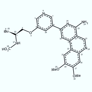 CC[C@H](C)[C@@H](COc1cncc(-c2cc3c(cnc4cc(OC)c(OC)cc43)c(N)n2)c1)NC(=O)O